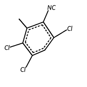 [C-]#[N+]c1c(Cl)cc(Cl)c(Cl)c1C